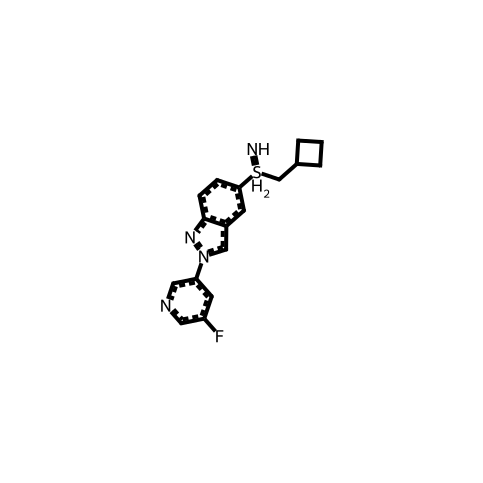 N=[SH2](CC1CCC1)c1ccc2nn(-c3cncc(F)c3)cc2c1